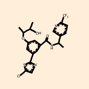 CC(NC(=O)c1cc(OC(C)C(C)O)cc(-c2ncc(Cl)s2)c1)c1ccc(C(F)(F)F)nc1